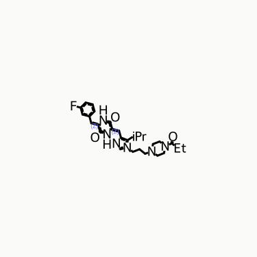 CCC(=O)N1CCN(CCCn2cnc(/C=c3\[nH]c(=O)/c(=C/c4cccc(F)c4)[nH]c3=O)c2C(C)C)CC1